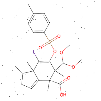 COC(OC)C1(C)C(OS(=O)(=O)c2ccc(C)cc2)=C(I)C2(C)C(=CCC2C)C1(C)C(=O)O